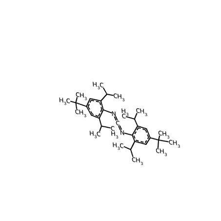 CC(C)c1cc(C(C)(C)C)cc(C(C)C)c1N=C=Nc1c(C(C)C)cc(C(C)(C)C)cc1C(C)C